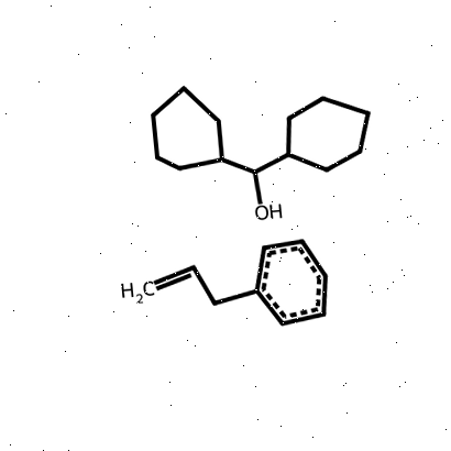 C=CCc1ccccc1.OC(C1CCCCC1)C1CCCCC1